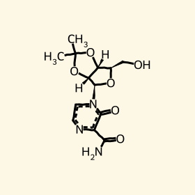 CC1(C)O[C@@H]2[C@H](O1)[C@@H](CO)O[C@H]2n1ccnc(C(N)=O)c1=O